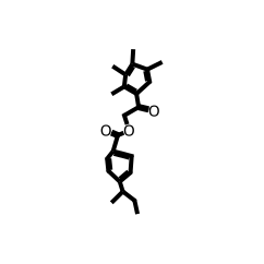 CCC(C)c1ccc(C(=O)OCC(=O)c2cc(C)c(C)c(C)c2C)cc1